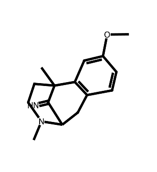 COc1ccc2c(c1)C1(C)CCN(C)C(C2)C1=N